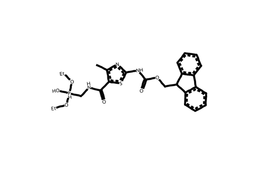 CCO[PH](O)(CNC(=O)c1sc(NC(=O)OCC2c3ccccc3-c3ccccc32)nc1C)OCC